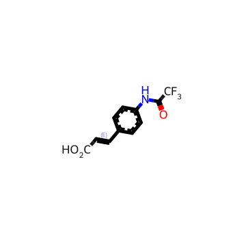 O=C(O)/C=C/c1ccc(NC(=O)C(F)(F)F)cc1